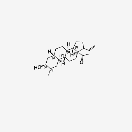 C=CC1CC[C@H]2[C@@H]3CC[C@H]4C[C@H](O)[C@@H](C)C[C@]4(C)[C@H]3CC[C@]12C(C)=O